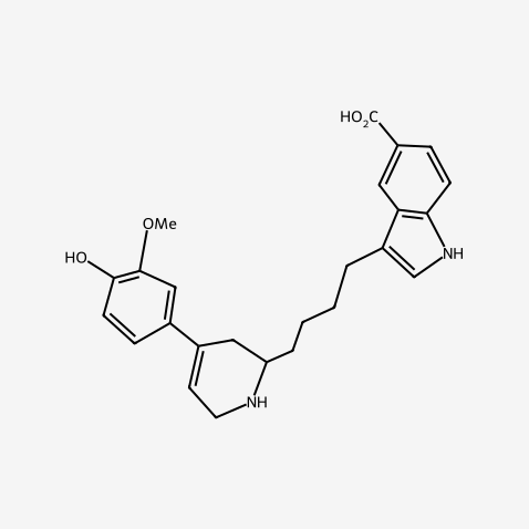 COc1cc(C2=CCNC(CCCCc3c[nH]c4ccc(C(=O)O)cc34)C2)ccc1O